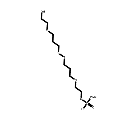 CCP(=O)(OC)OCCOCCCSSCCCOCCO